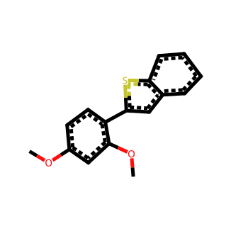 COc1ccc(-c2cc3ccccc3s2)c(OC)c1